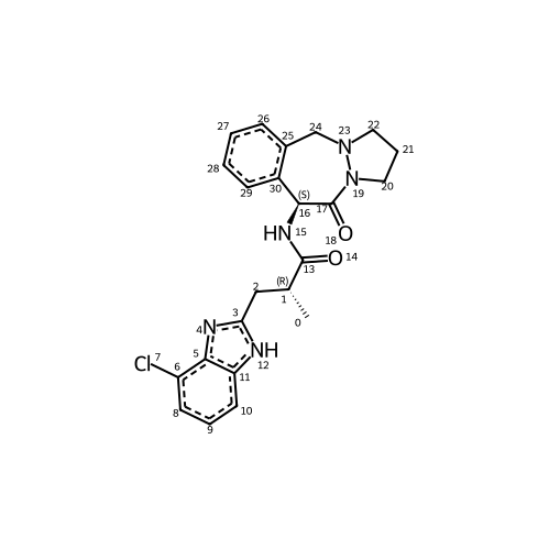 C[C@H](Cc1nc2c(Cl)cccc2[nH]1)C(=O)N[C@@H]1C(=O)N2CCCN2Cc2ccccc21